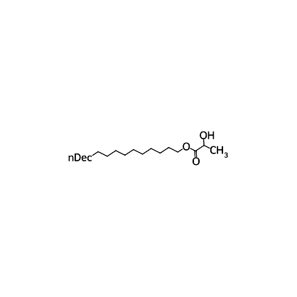 CCCCCCCCCCCCCCCCCCCCOC(=O)C(C)O